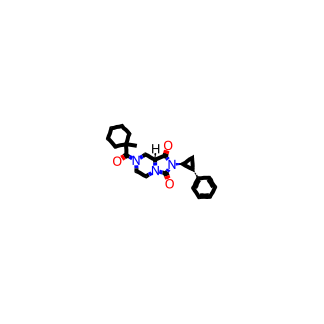 CC1(C(=O)N2CCN3C(=O)N([C@H]4C[C@@H]4c4ccccc4)C(=O)[C@@H]3C2)CCCCC1